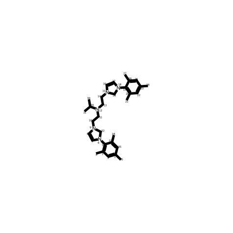 Cc1cc(C)c(N2C=CN(CCN(CCN3C=CN(c4c(C)cc(C)cc4C)C3)C(C)C)C2)c(C)c1